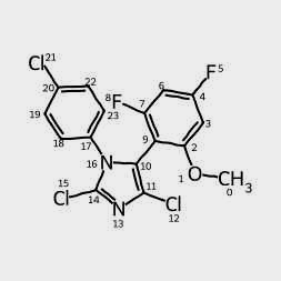 COc1cc(F)cc(F)c1-c1c(Cl)nc(Cl)n1-c1ccc(Cl)cc1